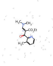 CCOC(=O)/C(=C\N(C)C)C(=O)c1ncccc1C